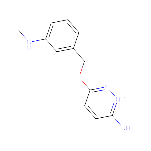 CNc1cccc(COc2ccc(N)nn2)c1